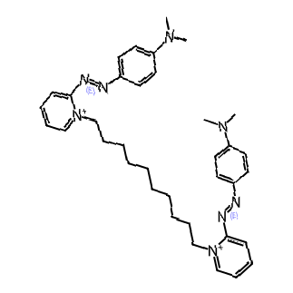 CN(C)c1ccc(/N=N/c2cccc[n+]2CCCCCCCCCC[n+]2ccccc2/N=N/c2ccc(N(C)C)cc2)cc1